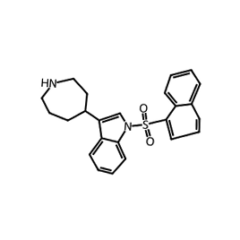 O=S(=O)(c1cccc2ccccc12)n1cc(C2CCCNCC2)c2ccccc21